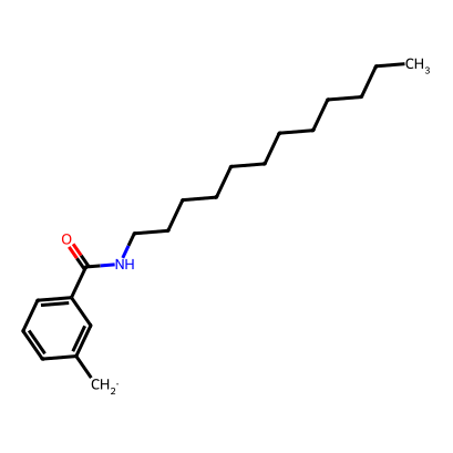 [CH2]c1cccc(C(=O)NCCCCCCCCCCCC)c1